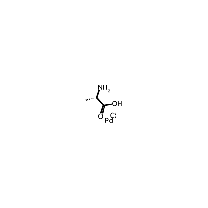 C[C@H](N)C(=O)O.[C].[Pd]